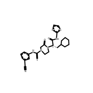 N#Cc1cccc(NC(=S)N2CCN([C@@H](CC3CCCCC3)C(=O)Nc3nccs3)C(=O)C2)c1